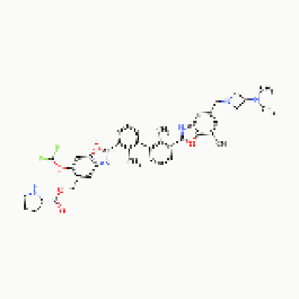 Cc1c(-c2nc3cc(COC(=O)[C@@H]4CCCN4)c(OC(F)F)cc3o2)cccc1-c1cccc(-c2nc3cc(CN4CC(N(C)C)C4)cc(C#N)c3o2)c1C